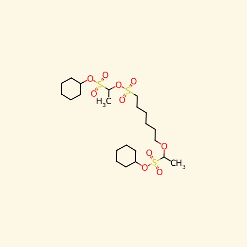 CC(OCCCCCCS(=O)(=O)OC(C)S(=O)(=O)OC1CCCCC1)S(=O)(=O)OC1CCCCC1